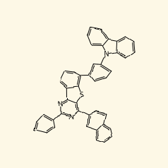 c1ccc(-c2nc(-c3ccc4ccccc4c3)c3sc4c(-c5cccc(-n6c7ccccc7c7ccccc76)c5)cccc4c3n2)cc1